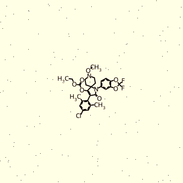 CCOC(=O)OC1=C(c2c(C)cc(Cl)cc2C)C(=O)N(c2ccc3c(c2)OC(F)(F)O3)C12CCN(OC)CC2